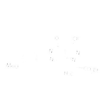 CCOC(=O)C(C)n1nc(C(F)(F)F)c2c(=O)n(Cc3ccc(OC)cc3)ncc21